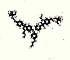 CCCCCC(C)(c1ccc(COCC2(CC)COC2)cc1)c1ccc(N(c2ccc(CCCC)cc2)c2ccc(C(C)(CCCC)c3ccc(COCC4(CC)COC4)cc3)cc2)cc1